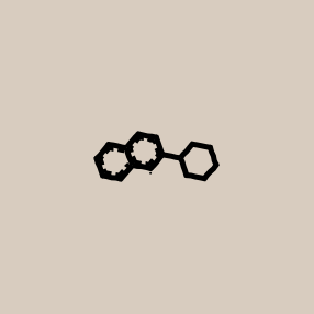 [c]1c(C2CCCCC2)ccc2ccccc12